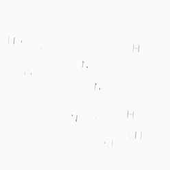 C=Cc1cnc2n1CCC(CC1CCN(C(=O)OC(C)(C)C)C1)(C(=O)OC)C2